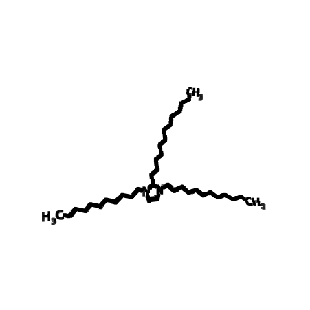 CCCCCCCCCCCCCC1N(CCCCCCCCCCC)C=CN1CCCCCCCCCCCC